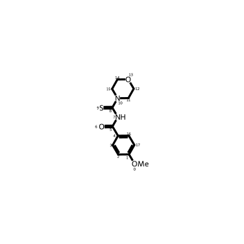 COc1ccc(C(=O)NC(=S)N2CCOCC2)cc1